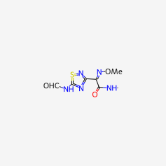 CON=C(C([NH])=O)c1nsc(NC=O)n1